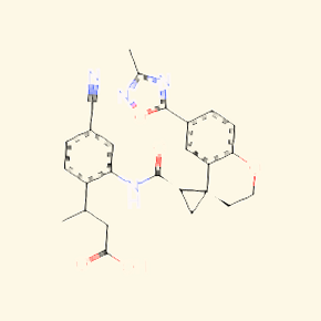 Cc1noc(-c2ccc3c(c2)[C@]2(CCO3)C[C@H]2C(=O)Nc2cc(C#N)ccc2C(C)CC(=O)O)n1